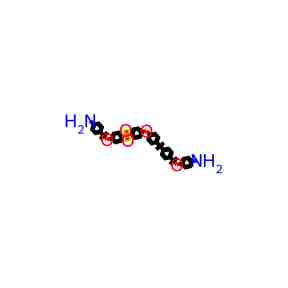 CC(C)(Oc1ccc(S(=O)(=O)c2ccc(Oc3ccc(C(C)(C)c4ccc(C(C)(C)Oc5ccc(N)cc5)cc4)cc3)cc2)cc1)c1ccc(N)cc1